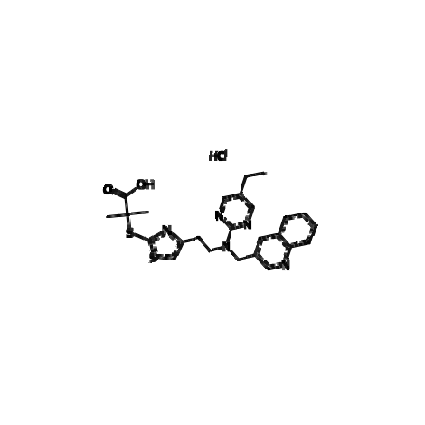 CCc1cnc(N(CCc2csc(SC(C)(C)C(=O)O)n2)Cc2cnc3ccccc3c2)nc1.Cl